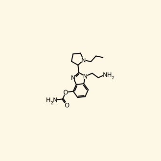 CCCN1CCCC1c1nc2c(OC(N)=O)cccc2n1CCN